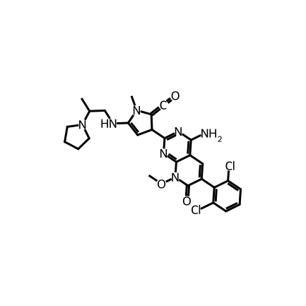 COn1c(=O)c(-c2c(Cl)cccc2Cl)cc2c(N)nc(C3C=C(NCC(C)N4CCCC4)N(C)C3=C=O)nc21